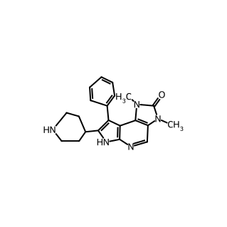 Cn1c(=O)n(C)c2c3c(-c4ccccc4)c(C4CCNCC4)[nH]c3ncc21